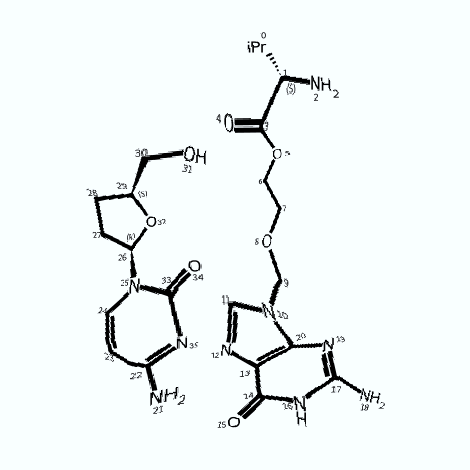 CC(C)[C@H](N)C(=O)OCCOCn1cnc2c(=O)[nH]c(N)nc21.Nc1ccn([C@H]2CC[C@@H](CO)O2)c(=O)n1